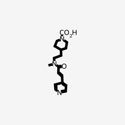 CN(CCC1CCN(C(=O)O)CC1)C(=O)C=Cc1ccncc1